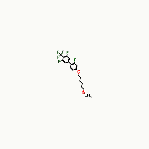 COCCCCCCOc1ccc(-c2cc(F)c(C(F)(F)F)c(F)c2)c(F)c1